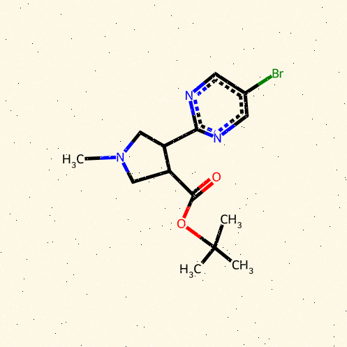 CN1CC(C(=O)OC(C)(C)C)C(c2ncc(Br)cn2)C1